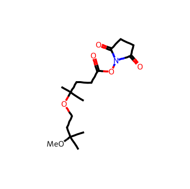 COC(C)(C)CCOC(C)(C)CCC(=O)ON1C(=O)CCC1=O